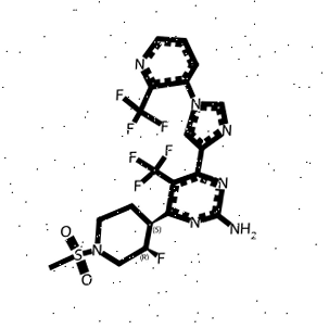 CS(=O)(=O)N1CC[C@@H](c2nc(N)nc(-c3cn(-c4cccnc4C(F)(F)F)cn3)c2C(F)(F)F)[C@@H](F)C1